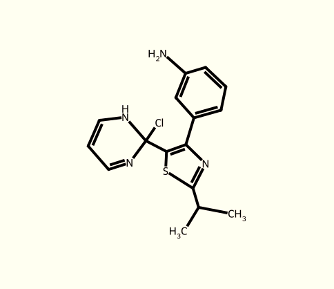 CC(C)c1nc(-c2cccc(N)c2)c(C2(Cl)N=CC=CN2)s1